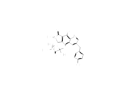 Cc1ccc(Cc2cnc3c(O)c4c(c(OC(C)(C)C(=O)N(C)C)c3c2)CN(C)C4=O)cc1